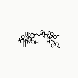 CCOC(=O)CC[C@@H](NC(=O)c1csc(CCC2CNc3nc(NC(=O)C(C)(C)C)nc(O)c3C2)n1)C(=O)OCC